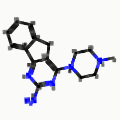 CN1CCN(c2nc(N)nc3c2Cc2ccccc2-3)CC1